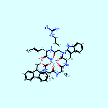 CC=CC[C@H](NC(=O)[C@H](CCCNC(=N)N)NC(=O)[C@H](Cc1c[nH]c2ccccc12)NC(=O)[C@H](C)NC(=O)[C@H](C)NC(=O)OCC1c2ccccc2-c2ccccc21)C(N)=O